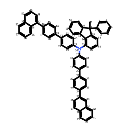 CC1(c2ccccc2)c2ccccc2-c2c(N(c3ccc(-c4ccc(-c5ccc6ccccc6c5)cc4)cc3)c3ccc(-c4ccc(-c5cccc6ccccc56)cc4)cc3)cccc21